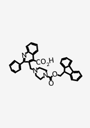 O=C(O)c1c(CN2CCN(C(=O)OCC3c4ccccc4-c4ccccc43)CC2)c(-c2ccccc2)nc2ccccc12